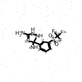 NC1=NC(N)(c2cccc(S(=O)(=O)C(F)(F)F)c2)NN1